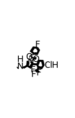 CNCc1cc(-c2ccccc2C(F)(F)F)n(S(=O)(=O)c2ccc(F)cc2)c1.Cl